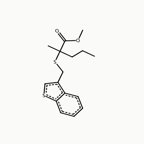 CCCC(C)(SCc1csc2ccccc12)C(=O)OC